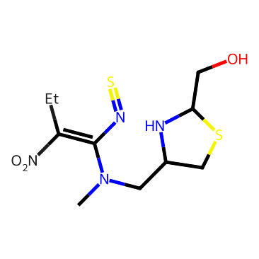 CCC(=C(N=S)N(C)CC1CSC(CO)N1)[N+](=O)[O-]